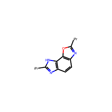 CC(C)c1nc2ccc3nc(C(C)C)oc3c2[nH]1